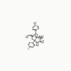 COc1ccc(CN(C=O)CC2(c3ccc(F)cc3)NC(=O)NC2=O)cc1